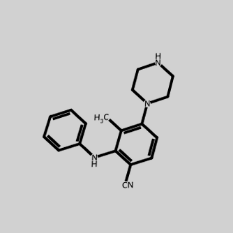 Cc1c(N2CCNCC2)ccc(C#N)c1Nc1ccccc1